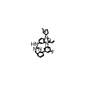 C=CC(=O)Nc1cc(Nc2ncc3cccc(-c4cccc(F)c4)c3n2)ccc1N(C)C1CCN(C)C1